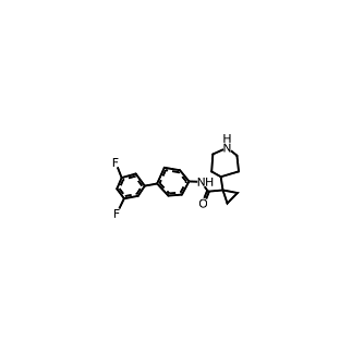 O=C(Nc1ccc(-c2cc(F)cc(F)c2)cc1)C1(C2CCNCC2)CC1